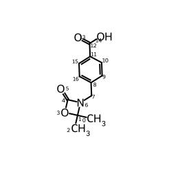 CC1(C)OC(=O)N1Cc1ccc(C(=O)O)cc1